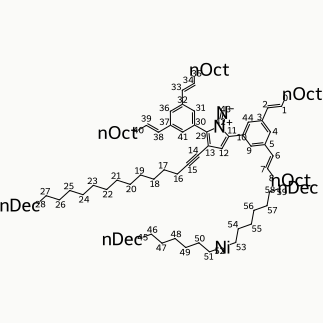 CCCCCCCCC=Cc1cc(C=CCCCCCCCC)cc(C2=CC(C#CCCCCCCCCCCCCCCCCCCCCCC)=C(c3cc(C=CCCCCCCCC)cc(C=CCCCCCCCC)c3)[N+]2=[N-])c1.CCCCCCCCCCCCCCC[CH2][Ni][CH2]CCCCCCCCCCCCCCC